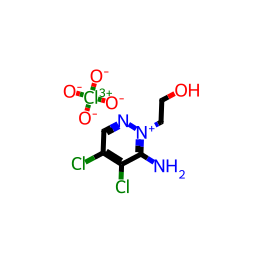 Nc1c(Cl)c(Cl)cn[n+]1CCO.[O-][Cl+3]([O-])([O-])[O-]